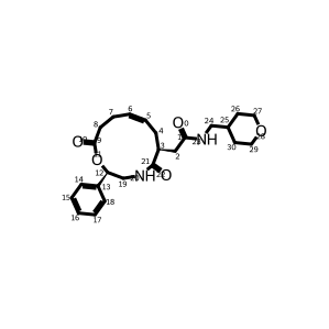 O=C(C[C@@H]1CC=CCCC(=O)O[C@H](c2ccccc2)CNC1=O)NCC1CCOCC1